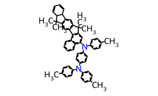 Cc1ccc(N(c2ccc(C)cc2)c2ccc(N(c3ccc(C)cc3)c3cc4c(c5ccccc35)-c3cc5c(cc3C4(C)C)C3C=CC=CC3C5(C)C)cc2)cc1